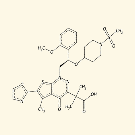 COc1ccccc1[C@H](Cn1nc(C(C)(C)C(=O)O)c(=O)c2c(C)c(-c3ncco3)sc21)OC1CCN(S(C)(=O)=O)CC1